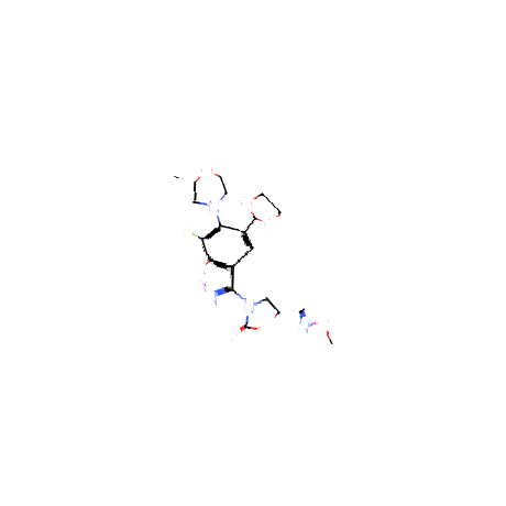 CO/N=C/[C@H]1CN(c2noc3c(F)c(N4C[C@@H](C)O[C@H](C)C4)c(C4OCCO4)cc23)C(=O)O1